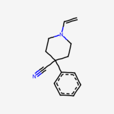 C=CN1CCC(C#N)(c2ccccc2)CC1